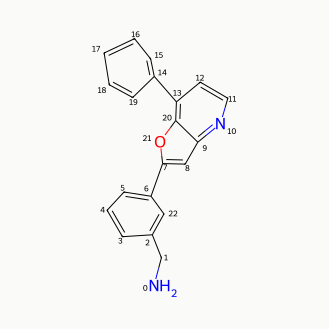 NCc1cccc(-c2cc3nccc(-c4ccccc4)c3o2)c1